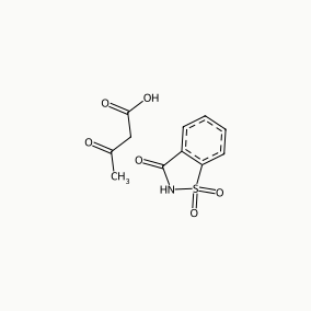 CC(=O)CC(=O)O.O=C1NS(=O)(=O)c2ccccc21